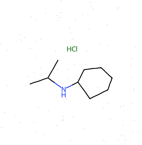 CC(C)NC1CCCCC1.Cl